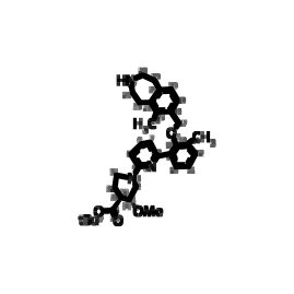 CO[C@H]1CN(c2cccc(-c3cccc(C)c3OCc3ccc4c(c3C)CCNCC4)n2)CC[C@@H]1C(=O)OC(C)(C)C